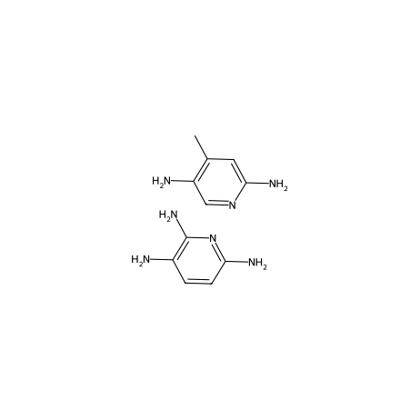 Cc1cc(N)ncc1N.Nc1ccc(N)c(N)n1